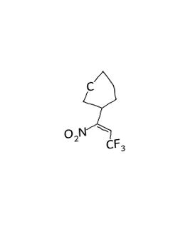 O=[N+]([O-])C(=CC(F)(F)F)C1CCCCC1